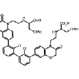 COCC(C=O)NCCN1C(=O)COc2cc(-c3cccc(-c4cccc(-c5ccc6c(c5)OCC(=O)N6CCNC(COC)C(=O)O)c4Cl)c3Cl)ccc21